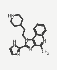 FC(F)(F)c1nc2ccccc2c2c1nc(-c1ncc[nH]1)n2CCC1CCNCC1